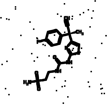 C#C[C@](C)(c1ccc(F)cc1)c1csc(NC(=O)NCCS(N)(=O)=O)n1